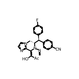 C=NN1/C(=C(/O)C(C)=O)c2nccn2C[C@@H]1[C@@H](c1ccc(F)cc1)c1ccc(C#N)cc1